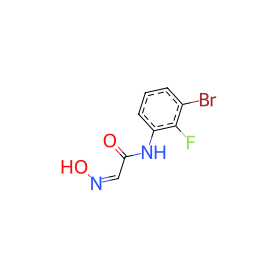 O=C(/C=N\O)Nc1cccc(Br)c1F